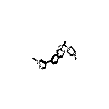 C=C(Nc1cc2cc(-c3cnn(C)c3)ccc2cn1)N1CCN(C)CC1